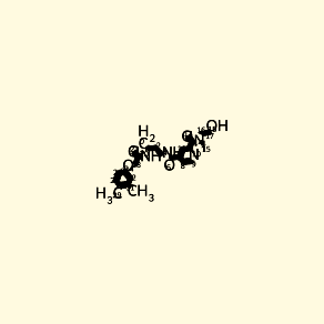 C=C(CCNC(=O)c1ccnc(C(=O)N(I)CCO)c1)NC(=O)COc1ccc(C)c(C)c1